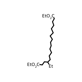 CCOC(=O)CCCCCCCCCCCCCC(CC)CCC(=O)OCC